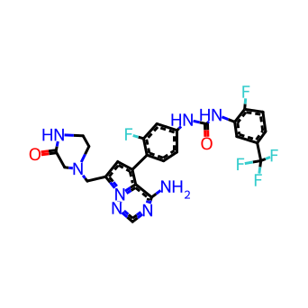 Nc1ncnn2c(CN3CCNC(=O)C3)cc(-c3ccc(NC(=O)Nc4cc(C(F)(F)F)ccc4F)cc3F)c12